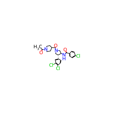 CC(=O)N1CCC(C(=O)N2CC(NC(=O)c3ccc(Cl)cc3)[C@H](c3ccc(Cl)c(Cl)c3)C2)CC1